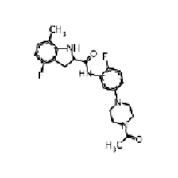 CC(=O)N1CCN(c2ccc(F)c(NC(=O)C3Cc4c(F)ccc(C)c4N3)c2)CC1